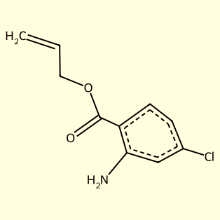 C=CCOC(=O)c1ccc(Cl)cc1N